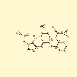 Cl.O=C(O)Cn1nnc(C=C2CN(C(C(=O)C3CC3)c3ccccc3F)CCC2S)n1